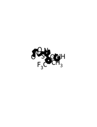 Cc1cc(C(F)(F)F)cc(-c2ccnc3cc(CN4C(=O)CCC4=O)sc23)c1O[C@H]1CCCNC1